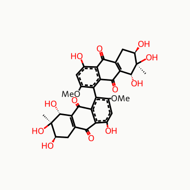 COc1cc(O)c2c(c1-c1c(OC)cc(O)c3c1C(=O)C1=C(C[C@@H](O)[C@@](C)(O)[C@@H]1O)C3=O)C(=O)C1=C(C[C@@H](O)[C@@](C)(O)[C@@H]1O)C2=O